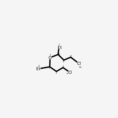 CCC(CCCl)OC(CC)CCCl